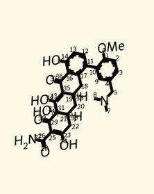 COc1ccc(CN(C)C)cc1-c1ccc(O)c2c1C[C@H]1C[C@H]3CC(O)=C(C(N)=O)C(=O)[C@@]3(O)C(O)=C1C2=O